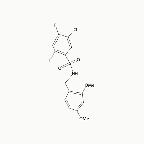 COc1ccc(CNS(=O)(=O)c2cc(Cl)c(F)cc2F)c(OC)c1